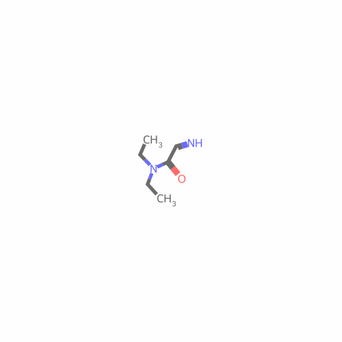 CCN(CC)C(=O)C=N